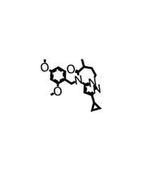 COc1ccc(CN2C(=O)C(C)CCn3nc(C4CC4)cc32)c(OC)c1